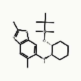 Cc1nc2cc(C)c(N[C@@H]3CCCC[C@H]3O[Si](C)(C)C(C)(C)C)cc2s1